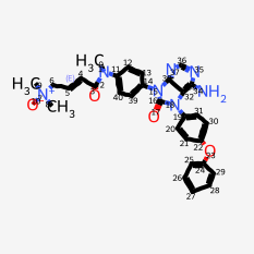 CN(C(=O)/C=C/C[N+](C)(C)[O-])c1ccc(-n2c(=O)n(-c3ccc(Oc4ccccc4)cc3)c3c(N)ncnc32)cc1